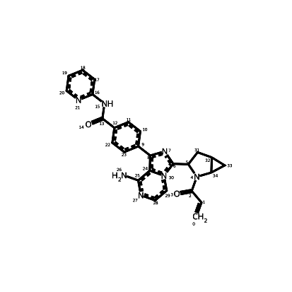 C=CC(=O)N1C(c2nc(-c3ccc(C(=O)Nc4ccccn4)cc3)c3c(N)nccn23)CC2CC21